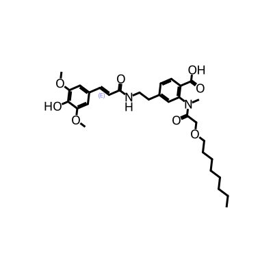 CCCCCCCCOCC(=O)N(C)c1cc(CCNC(=O)/C=C/c2cc(OC)c(O)c(OC)c2)ccc1C(=O)O